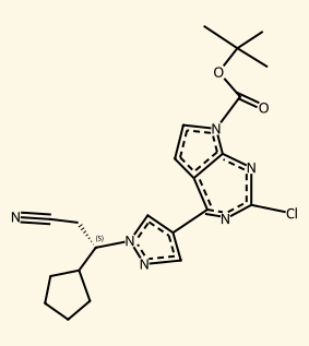 CC(C)(C)OC(=O)n1ccc2c(-c3cnn([C@@H](CC#N)C4CCCC4)c3)nc(Cl)nc21